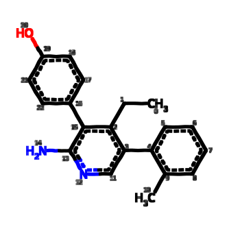 CCc1c(-c2ccccc2C)cnc(N)c1-c1ccc(O)cc1